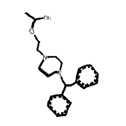 CC(O)OCCN1CCN(C(c2ccccc2)c2ccccc2)CC1